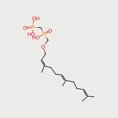 CC(C)=CCC/C(C)=C/CC/C(C)=C\COCP(=O)(O)CP(=O)(O)O